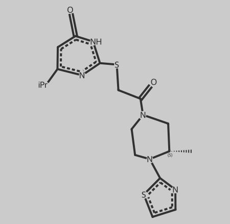 CC(C)c1cc(=O)[nH]c(SCC(=O)N2CCN(c3nccs3)[C@@H](C)C2)n1